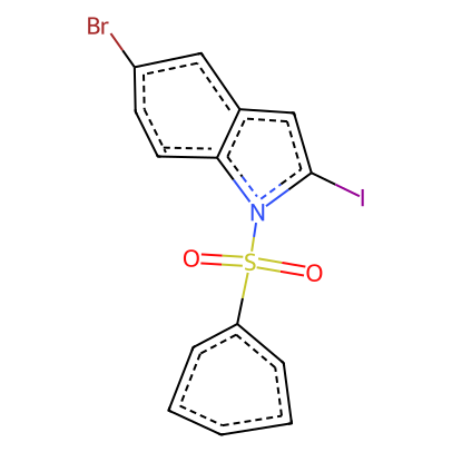 O=S(=O)(c1ccccc1)n1c(I)cc2cc(Br)ccc21